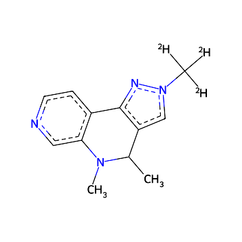 [2H]C([2H])([2H])n1cc2c(n1)-c1ccncc1N(C)C2C